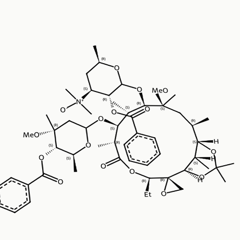 CC[C@H]1OC(=O)[C@H](C)[C@@H](OC2C[C@@](C)(OC)[C@@H](OC(=O)c3ccccc3)[C@H](C)O2)[C@H](C)[C@@H](OC2O[C@H](C)C[C@H]([N+](C)(C)[O-])[C@H]2OC(=O)c2ccccc2)[C@@](C)(OC)C[C@@H](C)[C@@H]2OC(C)(C)O[C@H]([C@H]2C)[C@@]12CO2